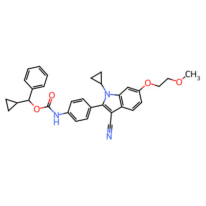 COCCOc1ccc2c(C#N)c(-c3ccc(NC(=O)OC(c4ccccc4)C4CC4)cc3)n(C3CC3)c2c1